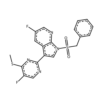 CSc1nc(-c2cn(S(=O)(=O)Cc3ccccc3)c3ncc(F)cc23)ncc1F